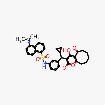 CN(C)c1cccc2c(S(=O)(=O)Nc3cccc(C(c4c(O)c5c(oc4=O)CCCCCC5=O)C4CC4)c3)cccc12